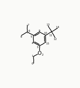 CCOc1cc([C](C)C)cc(C(C)(C)C)c1